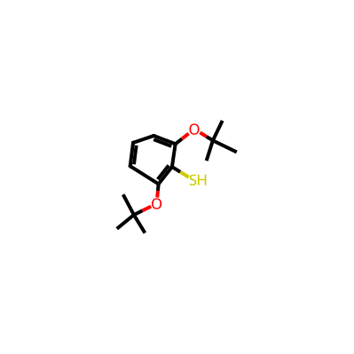 CC(C)(C)Oc1cccc(OC(C)(C)C)c1S